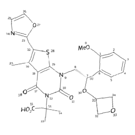 COc1ccccc1[C@@H](Cn1c(=O)n(C(C)(C)C(=O)O)c(=O)c2c(C)c(-c3ncco3)sc21)OC1COC1